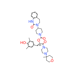 Cc1cc(C[C@@H](OC(=O)N2CCC(N3CCc4ccccc4NC3=O)CC2)C(=O)N2CCN(C3(C)CCOCC3)CC2)cc(C)c1O